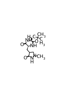 CN1CC(C[C@H](NC(=O)OC(C)(C)C)C(N)=O)C(=O)N1